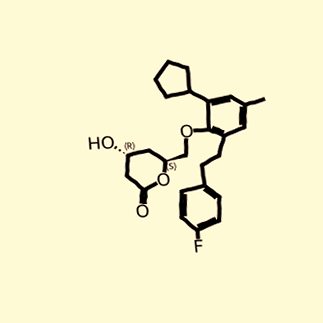 Cc1cc(CCc2ccc(F)cc2)c(OC[C@@H]2C[C@@H](O)CC(=O)O2)c(C2CCCC2)c1